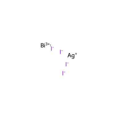 [Ag+].[Bi+3].[I-].[I-].[I-].[I-]